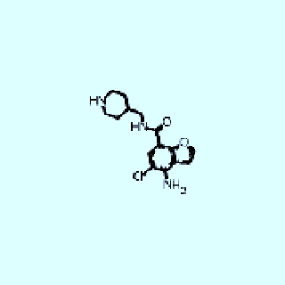 Nc1c(Cl)cc(C(=O)NCC2CCNCC2)c2occc12